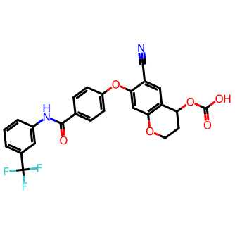 N#Cc1cc2c(cc1Oc1ccc(C(=O)Nc3cccc(C(F)(F)F)c3)cc1)OCCC2OC(=O)O